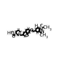 Cc1nn(C(C)C)c2ccc(COc3ccc4c(c3)OCC(CN3CCC[C@@H](C(=O)O)C3)=C4)cc12